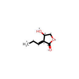 CC/C=C1/C(=O)OCC1O